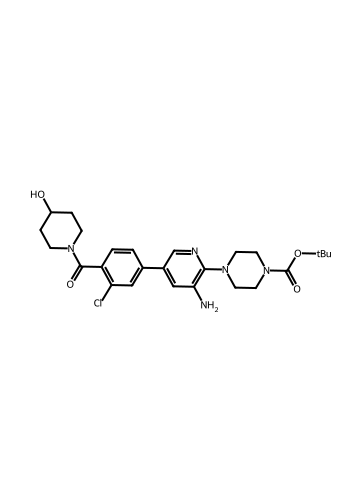 CC(C)(C)OC(=O)N1CCN(c2ncc(-c3ccc(C(=O)N4CCC(O)CC4)c(Cl)c3)cc2N)CC1